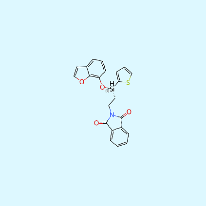 O=C1c2ccccc2C(=O)N1CC[Si@H](Oc1cccc2ccoc12)c1cccs1